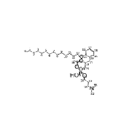 CCCCCCCCCCCCCCOc1ccccc1CC(COP(O)OCCCN(C)C)OC(C)=O